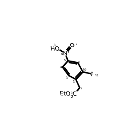 CCOC(=O)Cc1ccc([N+](=O)O)cc1F